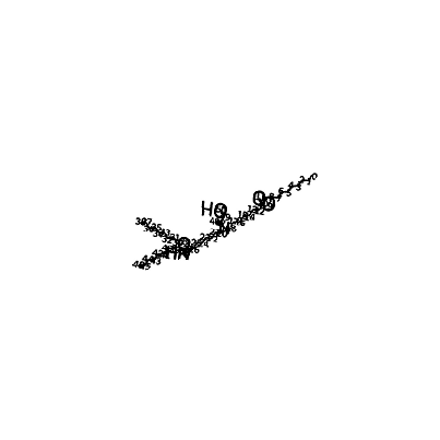 CCCCCCCCCOC(=O)CCCCCCCN(CCCCCCCC(=N)OC(CCCCCCCC)CCCCCCCC)C(C)CO